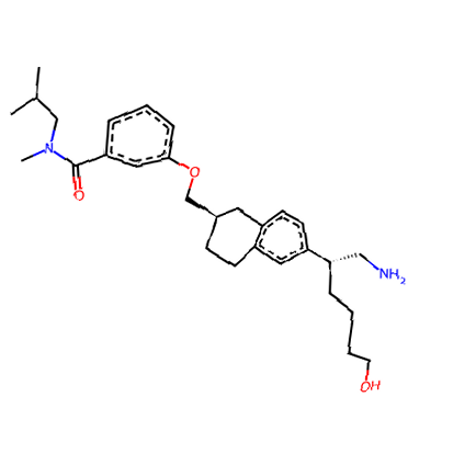 CC(C)CN(C)C(=O)c1cccc(OC[C@@H]2CCc3cc([C@H](CN)CCCCO)ccc3C2)c1